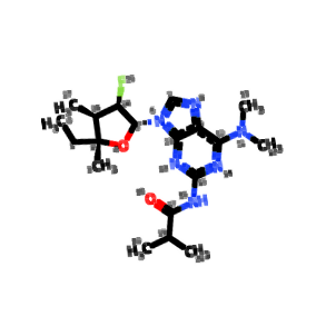 CC[C@@]1(C)O[C@@H](n2cnc3c(N(C)C)nc(NC(=O)C(C)C)nc32)[C@H](F)[C@@H]1C